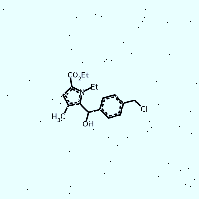 CCOC(=O)c1cc(C)c(C(O)c2ccc(CCl)cc2)n1CC